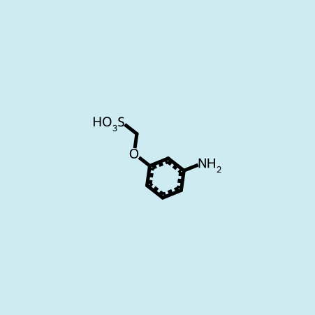 Nc1cccc(OCS(=O)(=O)O)c1